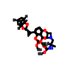 CC(C)(C)OC(=O)NC(C)(CN1CC(Oc2ccc(C3CC3B3O[C@@H]4C[C@@H]5C[C@@H](C5(C)C)[C@]4(C)O3)c(OC(=O)OC(C)(C)C)c2C(=O)OC(C)(C)C)C1)C(=O)O